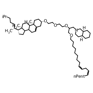 CCCCC/C=C\C/C=C\CCCCCCCCOCC(CN1CC[C@@H]2CCCC[C@@H]2C1)OCCOCCO[C@H]1CC[C@@]2(C)C(=CCC3C2CC[C@@]2(C)C3CC[C@@H]2[C@H](C)CCCC(C)C)C1